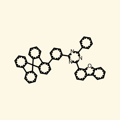 c1ccc(-c2nc(-c3cccc(-c4cccc5c4-c4ccccc4C54c5ccccc5-c5ccccc54)c3)nc(-c3cccc4c3oc3ccccc34)n2)cc1